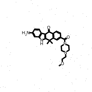 COCCN1CCN(C(=O)c2ccc3c(c2)C(C)(C)c2[nH]c4cc(N)ccc4c2C3=O)CC1